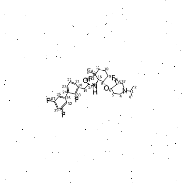 CC(C)N1CC[C@H](O[C@H]2CCCC(F)(F)[C@@H]2NC(=O)Cc2cccc(-c3cc(F)cc(F)c3)c2F)[C@@H](F)C1